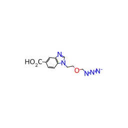 [N-]=[N+]=NCOCCn1cnc2cc(C(=O)O)ccc21